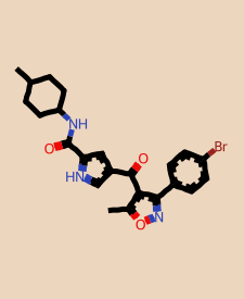 Cc1onc(-c2ccc(Br)cc2)c1C(=O)c1c[nH]c(C(=O)NC2CCC(C)CC2)c1